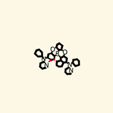 C1=CC2C(N(c3ccccc3)c3ccccn3)=CC3=C(B4c5c(cccc5Oc5cc(N(c6ccccc6)c6ccccn6)c6ccccc6c54)O3)C2C=C1